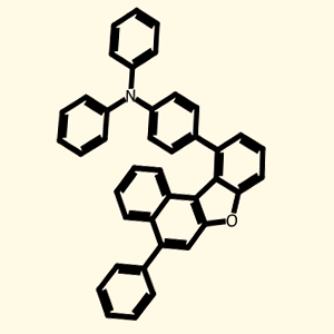 c1ccc(-c2cc3oc4cccc(-c5ccc(N(c6ccccc6)c6ccccc6)cc5)c4c3c3ccccc23)cc1